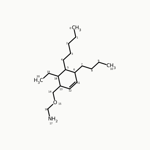 CCCCCC1C(CCCC)C=CC(COCN)C1CC